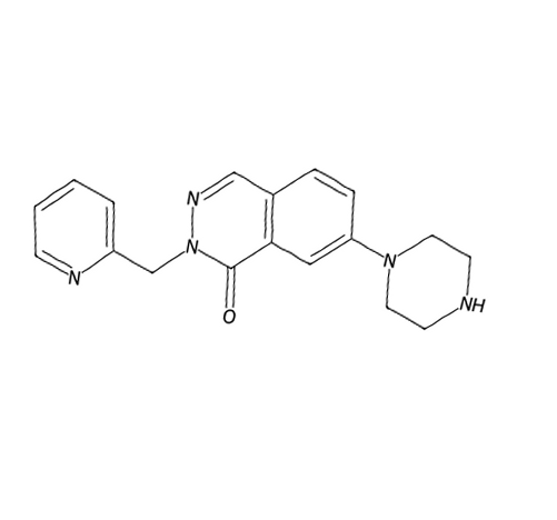 O=c1c2cc(N3CCNCC3)ccc2cnn1Cc1ccccn1